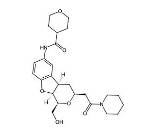 O=C(Nc1ccc2c(c1)[C@H]1C[C@@H](CC(=O)N3CCCCC3)O[C@@H](CO)[C@H]1O2)C1CCOCC1